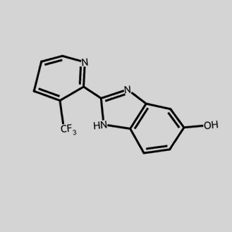 Oc1ccc2[nH]c(-c3ncccc3C(F)(F)F)nc2c1